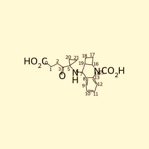 O=C(O)CCC(=O)C1(NC2c3ccccc3N(C(=O)O)C3CCC23)CC1